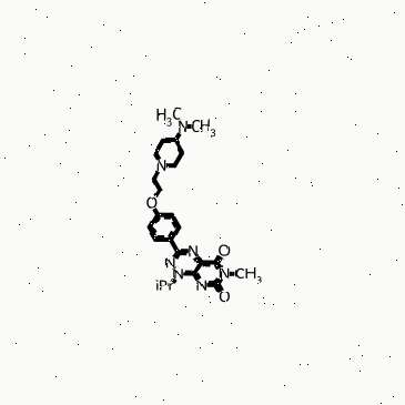 CC(C)n1nc(-c2ccc(OCCN3CCC(N(C)C)CC3)cc2)nc2c(=O)n(C)c(=O)nc1-2